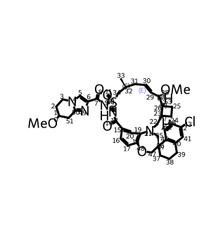 COC1CCn2cc(C(=O)N[S@@]3(=O)=NC(=O)c4ccc5c(c4)N(C[C@@H]4CC[C@H]4[C@@H](OC)/C=C/C[C@H](C)C3)C[C@@]3(CCCc4cc(Cl)ccc43)CO5)nc2C1